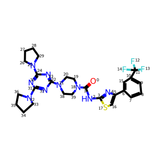 O=C(Nc1nc(-c2cccc(C(F)(F)F)c2)cs1)N1CCN(c2nc(N3CCCC3)nc(N3CCCC3)n2)CC1